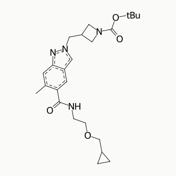 Cc1cc2nn(CC3CN(C(=O)OC(C)(C)C)C3)cc2cc1C(=O)NCCOCC1CC1